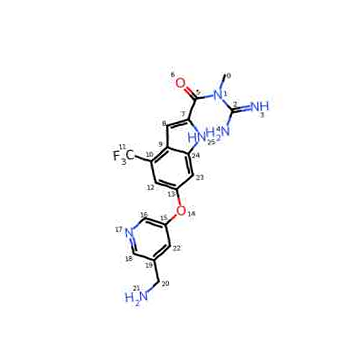 CN(C(=N)N)C(=O)c1cc2c(C(F)(F)F)cc(Oc3cncc(CN)c3)cc2[nH]1